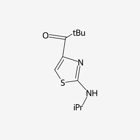 CC(C)Nc1nc(C(=O)C(C)(C)C)cs1